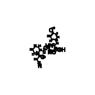 COc1ccc(C[C@H](NC(=O)OC[C@H]2CCCCN2C(=O)CC#N)B(O)O)cc1